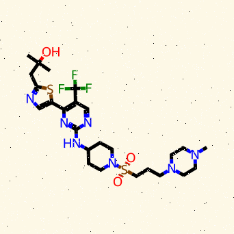 CN1CCN(CCCS(=O)(=O)N2CCC(Nc3ncc(C(F)(F)F)c(-c4cnc(CC(C)(C)O)s4)n3)CC2)CC1